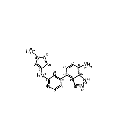 Cn1cc(Nc2nccc(-c3ccc(N)c4[nH]ncc34)n2)cn1